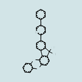 CC1(C)c2cc(-c3ccc(-c4ccccc4)cn3)ccc2-c2c1ccc1c2Oc2ccccc2O1